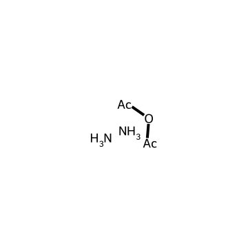 CC(=O)OC(C)=O.N.N